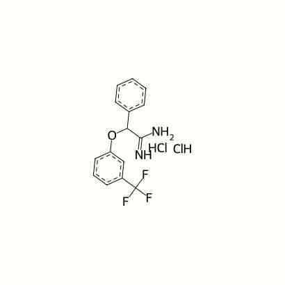 Cl.Cl.N=C(N)C(Oc1cccc(C(F)(F)F)c1)c1ccccc1